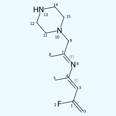 C=C(F)/C=C(C)/N=C(\C)CN1CCNCC1